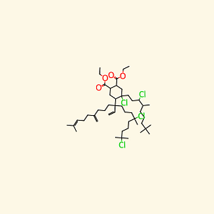 C=CC(CCCC(=C)CCC=C(C)C)(CCCC(C)(Cl)CCCC(C)(C)Cl)C1CC(C(=O)OCC)C(C(=O)OCC)CC1(Cl)CCC(Cl)C(C)CCCC(C)(C)C